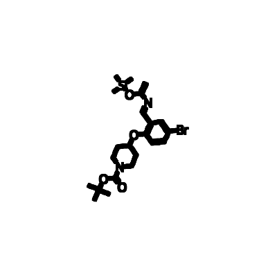 C=C(/N=C/c1cc(Br)ccc1OC1CCN(C(=O)OC(C)(C)C)CC1)O[Si](C)(C)C